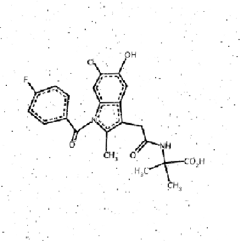 Cc1c(CC(=O)NC(C)(C)C(=O)O)c2cc(O)c(Cl)cc2n1C(=O)c1ccc(F)cc1